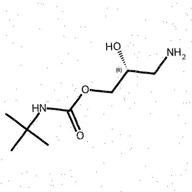 CC(C)(C)NC(=O)OC[C@H](O)CN